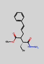 CC(C)C[C@@H](C(=O)NN)C(C/C=C/c1ccccc1)C(=O)OC(C)(C)C